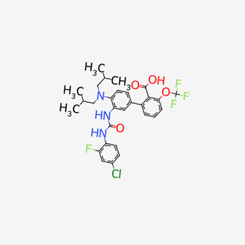 CC(C)CN(CC(C)C)c1ccc(-c2cccc(OC(F)(F)F)c2C(=O)O)cc1NC(=O)Nc1ccc(Cl)cc1F